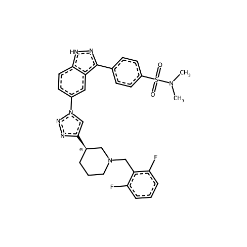 CN(C)S(=O)(=O)c1ccc(-c2n[nH]c3ccc(-n4cc([C@@H]5CCCN(Cc6c(F)cccc6F)C5)nn4)cc23)cc1